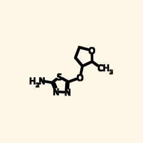 CC1OCCC1Oc1nnc(N)s1